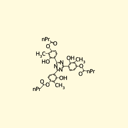 CCCC(=O)Oc1ccc(-c2nc(-c3ccc(OC(=O)CCC)c(C)c3O)nc(-c3ccc(OC(=O)CCC)c(C)c3O)n2)c(O)c1C